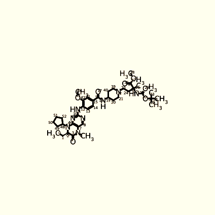 CC[C@@H]1C(=O)N(C)c2cnc(Nc3ccc(C(=O)NC4CCN(CCC(C)(NC(=O)OC(C)(C)C)C(=O)OC)CC4)cc3OC)nc2N1C1CCCC1